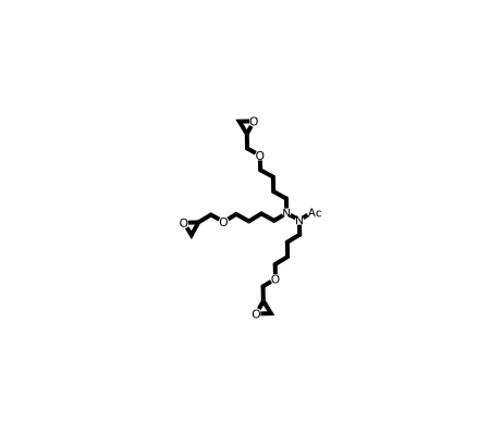 CC(=O)N(CCCCOCC1CO1)N(CCCCOCC1CO1)CCCCOCC1CO1